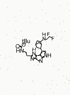 CC(C)(C)OC(=O)NCCc1nc2cnc3[nH]cc(C4CC5CC(NCC(F)F)C4C5)c3c2[nH]1